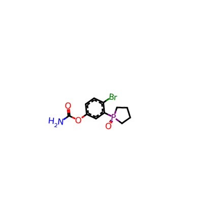 NC(=O)Oc1ccc(Br)c(P2(=O)CCCC2)c1